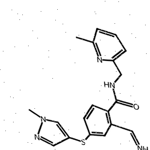 Cc1cccc(CNC(=O)c2ccc(Sc3cnn(C)c3)cc2C=N)n1